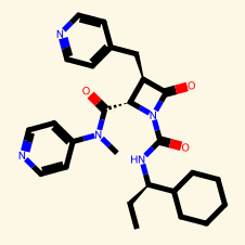 CC[C@@H](NC(=O)N1C(=O)[C@H](Cc2ccncc2)[C@H]1C(=O)N(C)c1ccncc1)C1CCCCC1